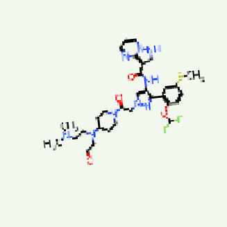 CSc1ccc(OC(F)F)c(-c2nn(CC(=O)N3CCC(N(CC=O)CCN(C)C)CC3)cc2NC(=O)C2=C3N=CC=CN3NC2)c1